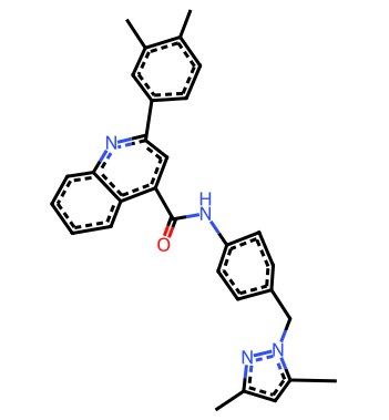 Cc1cc(C)n(Cc2ccc(NC(=O)c3cc(-c4ccc(C)c(C)c4)nc4ccccc34)cc2)n1